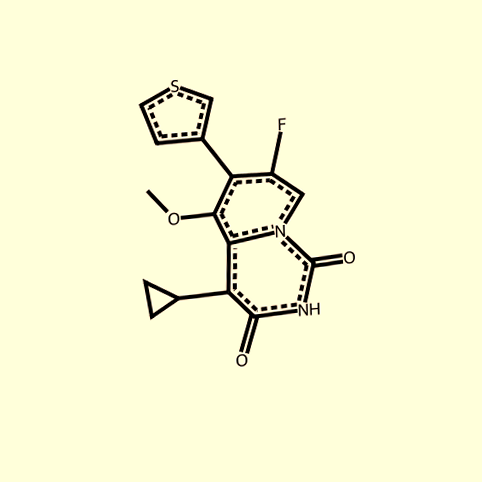 COc1c(-c2ccsc2)c(F)cn2c(=O)[nH]c(=O)c(C3CC3)c12